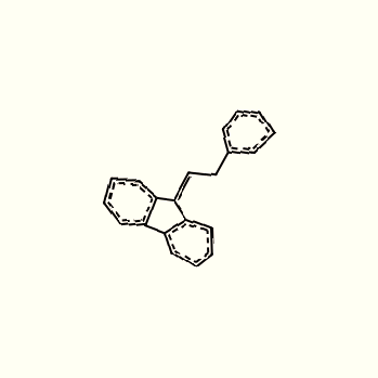 C(Cc1ccccc1)=C1c2ccccc2-c2ccccc21